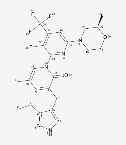 CCc1n[nH]cc1Cc1cc(C)cn(-c2nc(N3CCO[C@H](C)C3)cc(C(F)(F)F)c2F)c1=O